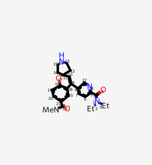 CCN(CC)C(=O)c1ccc(C2=CC3(CCNCC3)Oc3ccc(C(=O)NC)cc32)cn1